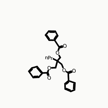 CCCC(COC(=O)c1ccccc1)(COC(=O)c1ccccc1)COC(=O)c1ccccc1